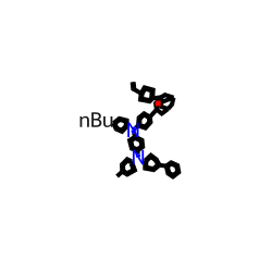 C=Cc1ccc(C23CC4CC(C2)CC(c2ccc(N(c5ccc(CCCC)cc5)c5ccc(N(c6ccc(C)cc6)c6ccc(-c7ccccc7)cc6)cc5)cc2)(C4)C3)cc1